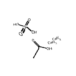 CC(=O)O.O=S(=O)(O)O.[CaH2].[CaH2]